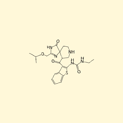 CCNC(=O)Nc1sc2ccccc2c1C(=O)C1CNCCC12N=C(COC(C)C)NC2=O